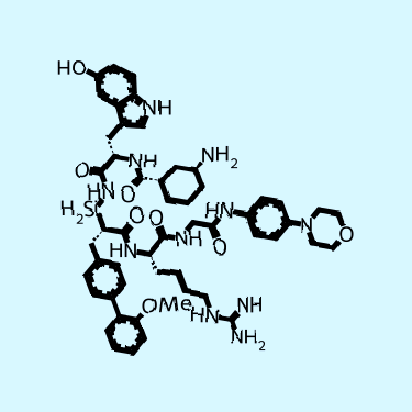 COc1ccccc1-c1ccc(C[C@H]([SiH2]NC(=O)[C@H](Cc2c[nH]c3ccc(O)cc23)NC(=O)[C@H]2CCC[C@H](N)C2)C(=O)N[C@@H](CCCCNC(=N)N)C(=O)NCC(=O)Nc2ccc(N3CCOCC3)cc2)cc1